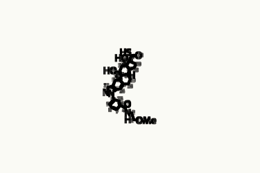 COCCNC(=O)c1cccc(-n2ncc3c2C=C2CC[C@@H]4C([C@@H](O)C[C@@]5(C)C4CC[C@]5(O)C(=O)S)[C@@]2(C)C3)c1